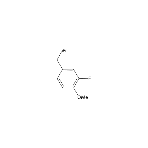 COc1ccc(CC(C)C)cc1F